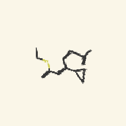 C=C(C)/C=C\C(=C/C(=C)SCC)C1CC1